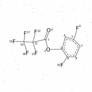 O=C(Oc1cc(F)ccc1F)C(F)(F)C(F)(F)F